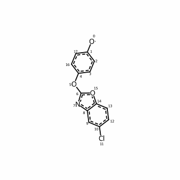 [O]c1ccc(Oc2nc3cc(Cl)ccc3o2)cc1